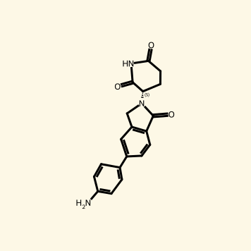 Nc1ccc(-c2ccc3c(c2)CN([C@H]2CCC(=O)NC2=O)C3=O)cc1